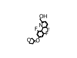 OCc1ccc(F)c(-c2c(F)cc(O[C@@H]3CCOC3)cc2F)n1